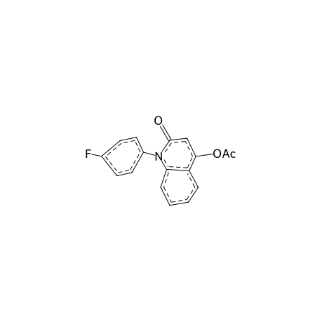 CC(=O)Oc1cc(=O)n(-c2ccc(F)cc2)c2ccccc12